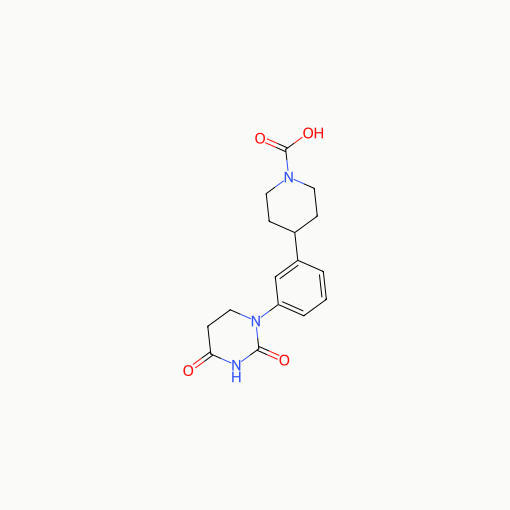 O=C1CCN(c2cccc(C3CCN(C(=O)O)CC3)c2)C(=O)N1